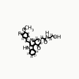 COc1ccc(Cc2nc3c(c4c2[nH]c2ccccc24)C(=O)CN(CC(=O)NCCO)C3)cc1F